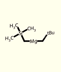 CC(C)(C)[CH2][Mg][CH2][Si](C)(C)C